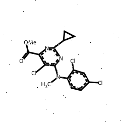 COC(=O)c1nc(C2CC2)nc(N(C)c2ccc(Cl)cc2Cl)c1Cl